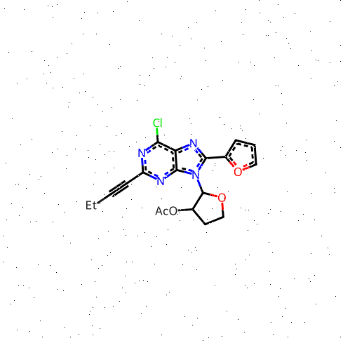 CCC#Cc1nc(Cl)c2nc(-c3ccco3)n(C3OCCC3OC(C)=O)c2n1